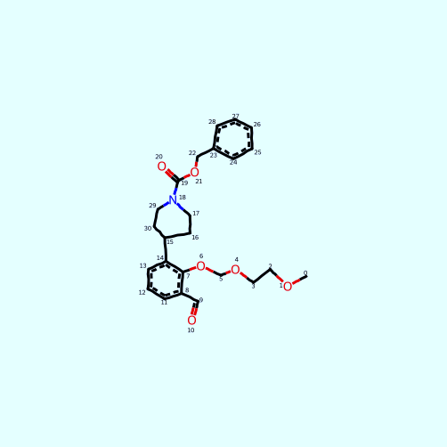 COCCOCOc1c(C=O)cccc1C1CCN(C(=O)OCc2ccccc2)CC1